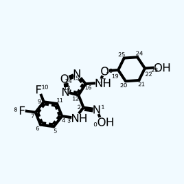 O/N=C(\Nc1ccc(F)c(F)c1)c1nonc1NOC1CCC(O)CC1